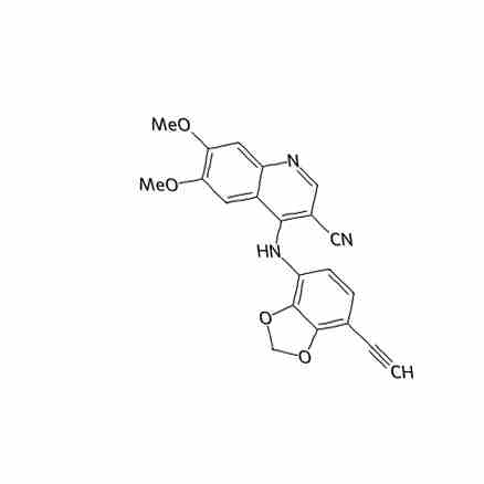 C#Cc1ccc(Nc2c(C#N)cnc3cc(OC)c(OC)cc23)c2c1OCO2